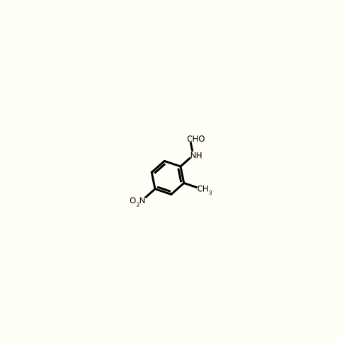 Cc1cc([N+](=O)[O-])ccc1NC=O